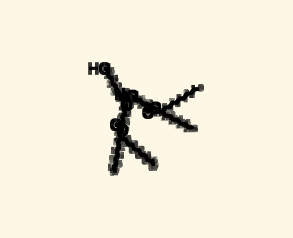 CCCCCCCCCCC(CCCCCCCC)COC(=O)CCCCO[C@H]1CN(CCCCCCO)C[C@H]1OCCCCC(=O)OCC(CCCCCCCC)CCCCCCCCCC